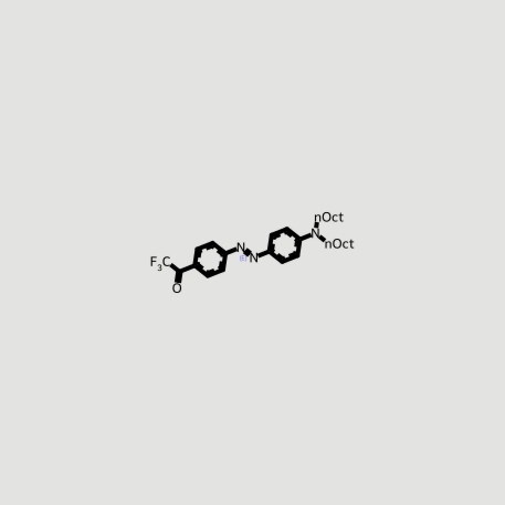 CCCCCCCCN(CCCCCCCC)c1ccc(/N=N/c2ccc(C(=O)C(F)(F)F)cc2)cc1